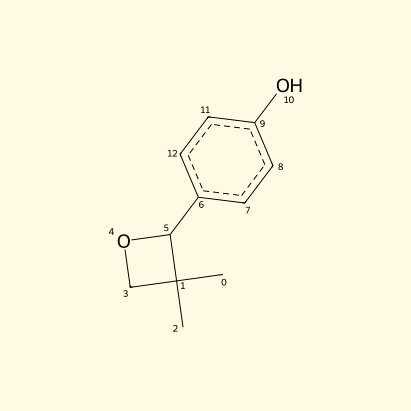 CC1(C)COC1c1ccc(O)cc1